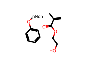 C=C(C)C(=O)OCCO.CCCCCCCCCOc1ccccc1